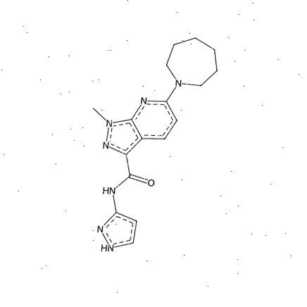 Cn1nc(C(=O)Nc2cc[nH]n2)c2ccc(N3CCCCCC3)nc21